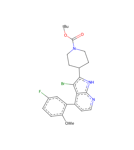 COc1ccc(F)cc1-c1ccnc2[nH]c(C3CCN(C(=O)OC(C)(C)C)CC3)c(Br)c12